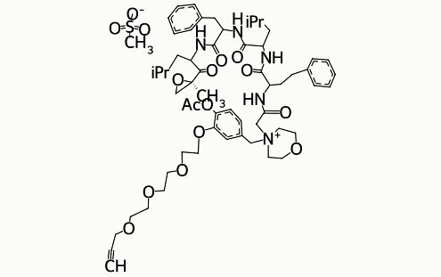 C#CCOCCOCCOCCOc1cc(C[N+]2(CC(=O)NC(CCc3ccccc3)C(=O)NC(CC(C)C)C(=O)NC(Cc3ccccc3)C(=O)NC(CC(C)C)C(=O)[C@@]3(C)CO3)CCOCC2)ccc1OC(C)=O.CS(=O)(=O)[O-]